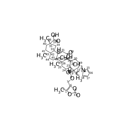 Cc1oc(=O)oc1COC(=O)[C@]1(C)[C@@H](n2cccc2)CC[C@@]2(C)[C@H]1CC[C@]1(C)[C@@H]2C(=O)C=C2[C@@H]3C[C@@](C)(C(=O)O)CC[C@]3(C)CC[C@]21C